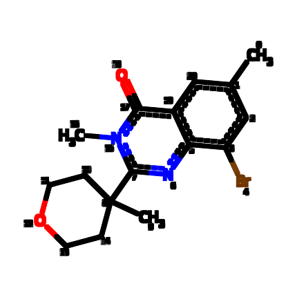 Cc1cc(Br)c2nc(C3(C)CCOCC3)n(C)c(=O)c2c1